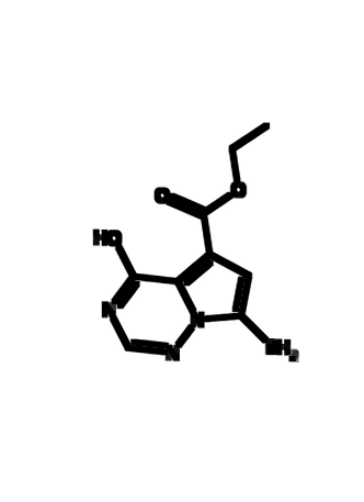 Bc1cc(C(=O)OCC)c2c(O)ncnn12